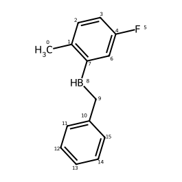 Cc1ccc(F)cc1BCc1ccccc1